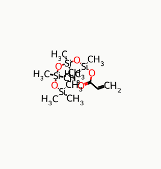 C=CC(=O)O[Si](C)(C)O[Si](C)(C)O[Si](C)(C)O[Si](C)(C)C